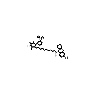 CC1=C(C)C(c2cccc([N+](=O)[O-])c2)C(CCCCCCCCCCNc2c3c(nc4cc(Cl)ccc24)CCCC3)=C(C)N1